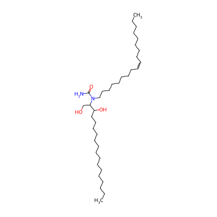 CCCCCCCC/C=C\CCCCCCCCN(C(N)=O)C(CO)C(O)CCCCCCCCCCCCCCC